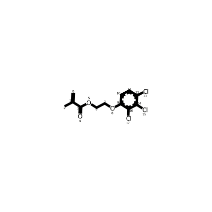 C=C(C)C(=O)OCCOc1ccc(Cl)c(Cl)c1Cl